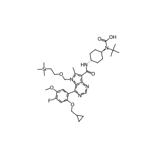 COc1cc(-c2ncnc3c(C(=O)N[C@H]4CC[C@H](N(C(=O)O)C(C)(C)C)CC4)c(C)n(COCC[Si](C)(C)C)c23)c(OCC2CC2)cc1F